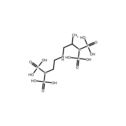 CC(CNCCN(P(=O)(O)O)P(=O)(O)O)N(P(=O)(O)O)P(=O)(O)O